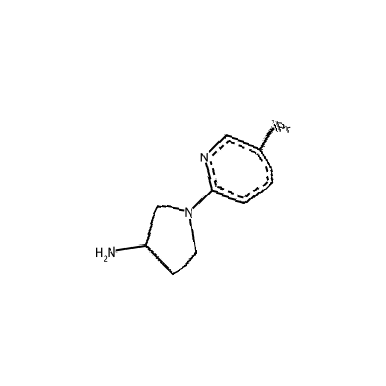 CC(C)c1ccc(N2CCC(N)C2)nc1